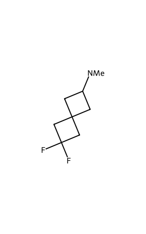 CNC1CC2(C1)CC(F)(F)C2